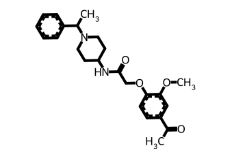 COc1cc(C(C)=O)ccc1OCC(=O)NC1CCN(C(C)c2ccccc2)CC1